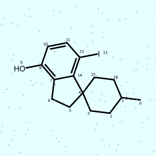 CC1CCC2(CCc3c(O)ccc(I)c32)CC1